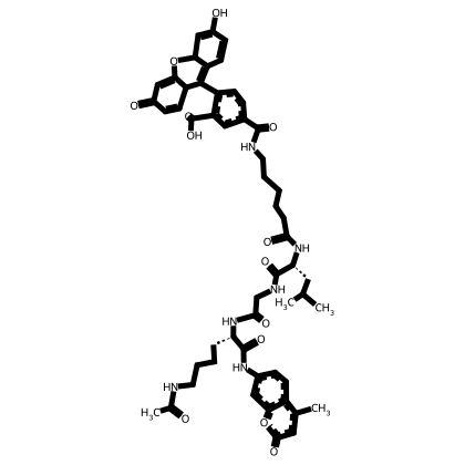 CC(=O)NCCCC[C@H](NC(=O)CNC(=O)[C@@H](CC(C)C)NC(=O)CCCCCNC(=O)c1ccc(C2=C3C=CC(O)=CC3OC3=CC(=O)C=CC32)c(C(=O)O)c1)C(=O)Nc1ccc2c(C)cc(=O)oc2c1